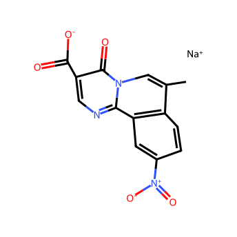 Cc1cn2c(=O)c(C(=O)[O-])cnc2c2cc([N+](=O)[O-])ccc12.[Na+]